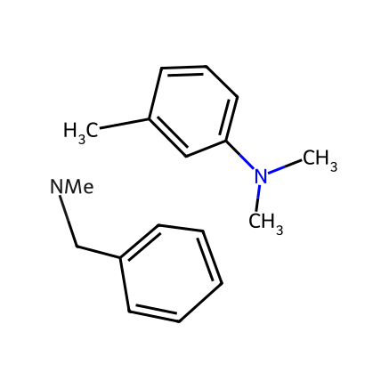 CNCc1ccccc1.Cc1cccc(N(C)C)c1